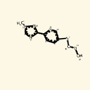 Cn1cnc(-c2ccc(SOOO)cn2)n1